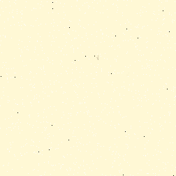 O=[N+]([O-])C(c1ccccc1)c1cccc(Cl)c1Br